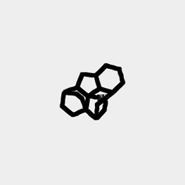 C1CC2CC3CCNC45C(CC(C1)C24)C1CCC35CC1